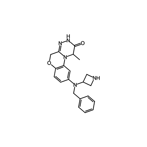 CC1C(=O)NN=C2COc3ccc(N(Cc4ccccc4)C4CNC4)cc3N21